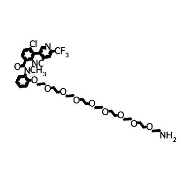 CN(C(=O)c1ccc(Cl)c(-c2cnc(C(F)(F)F)cc2C#N)c1)c1ccccc1OCCOCCOCCOCCOCCOCCOCCOCCOCCN